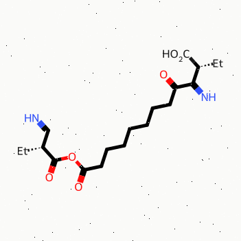 CC[C@H](C(=N)C(=O)CCCCCCCC(=O)OC(=O)[C@@H](C=N)CC)C(=O)O